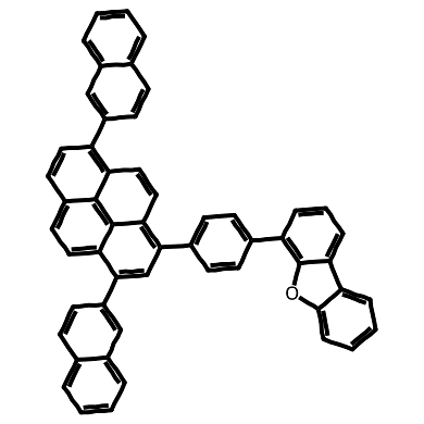 c1ccc2cc(-c3ccc4ccc5c(-c6ccc7ccccc7c6)cc(-c6ccc(-c7cccc8c7oc7ccccc78)cc6)c6ccc3c4c65)ccc2c1